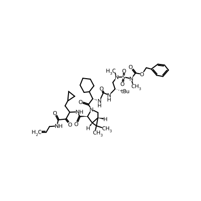 C=CCNC(=O)C(=O)C(CC1CC1)NC(=O)[C@@H]1[C@@H]2[C@H](CN1C(=O)[C@@H](NC(=O)N[C@H](CN(C)S(=O)(=O)N(C)C(=O)OCc1ccccc1)C(C)(C)C)C1CCCCC1)C2(C)C